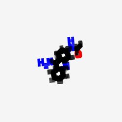 CC(=O)Nc1ccc2c(N)c3ccccc3nc2c1